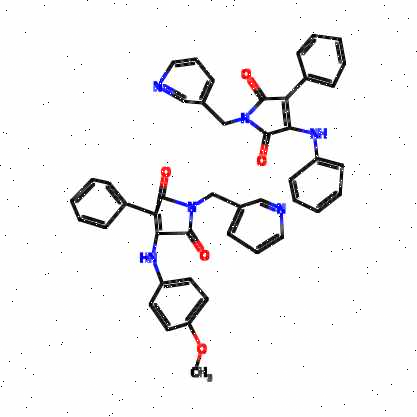 COc1ccc(NC2=C(c3ccccc3)C(=O)N(Cc3cccnc3)C2=O)cc1.O=C1C(Nc2ccccc2)=C(c2ccccc2)C(=O)N1Cc1cccnc1